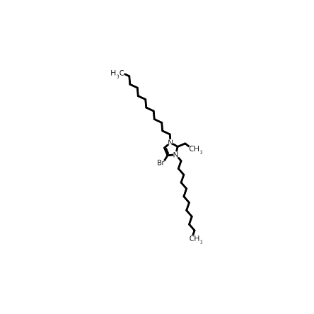 CCCCCCCCCCCCN1C=C(Br)N(CCCCCCCCCCCC)C1CC